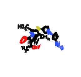 C[C@@H](O)[C@H]1C(=O)N2C(C(=O)O)=C(SC3CCN([C@H]4CC[C@@H](N)C4)C3)[C@H](C)[C@H]12